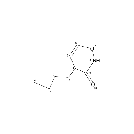 CCCCC1C=CONC1=O